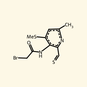 CSc1cc(C)nc(C=S)c1NC(=O)CBr